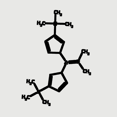 C[Si](C)=[Zr]([CH]1C=CC([Si](C)(C)C)=C1)[CH]1C=CC([Si](C)(C)C)=C1